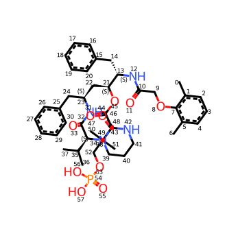 Cc1cccc(C)c1OCC(=O)N[C@@H](Cc1ccccc1)[C@H](C[C@H](Cc1ccccc1)NC(=O)[C@H](C(C)C)N1CCCNC1=O)OC(=O)CC(C)(C)COP(=O)(O)O